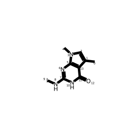 Cc1cn(C)c2nc(NI)[nH]c(=O)c12